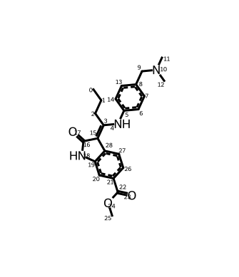 CCCC(Nc1ccc(CN(C)C)cc1)=C1C(=O)Nc2cc(C(=O)OC)ccc21